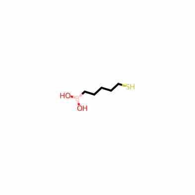 OB(O)CCCCCS